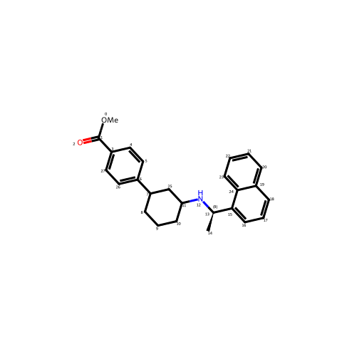 COC(=O)c1ccc(C2CCCC(N[C@H](C)c3cccc4ccccc34)C2)cc1